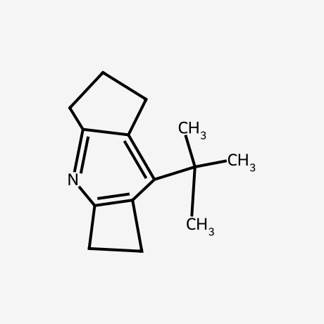 CC(C)(C)c1c2c(nc3c1CC3)CCC2